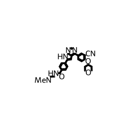 CNCCNC(=O)c1ccc(-c2cc3c(-c4ccc(OC5CCOCC5)c(C#N)c4)ncnc3[nH]2)cc1